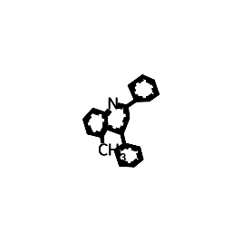 Cc1cccc2nc(-c3ccccc3)cc(-c3ccccc3)c12